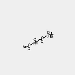 CCC(C)(C)C(=O)OCCOC(=O)CCC(=O)NCCOC(=O)C(C)=O